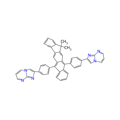 CC1(C)c2ccccc2-c2cc3c(-c4ccc(-c5cn6cccnc6n5)cc4)c4ccccc4c(-c4ccc(-c5cn6cccnc6n5)cc4)c3cc21